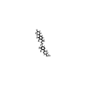 CCCC1CCC(c2ccc(OCCC(F)c3ccc(C4CCC(C)OC4)c(F)c3F)c(F)c2F)CO1